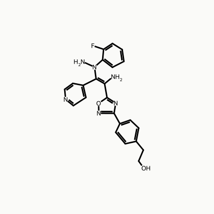 N/C(=C(/c1ccncc1)N(N)c1ccccc1F)c1nc(-c2ccc(CCO)cc2)no1